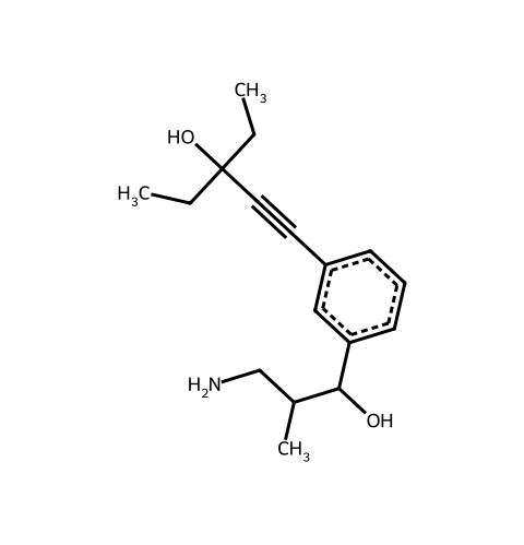 CCC(O)(C#Cc1cccc(C(O)C(C)CN)c1)CC